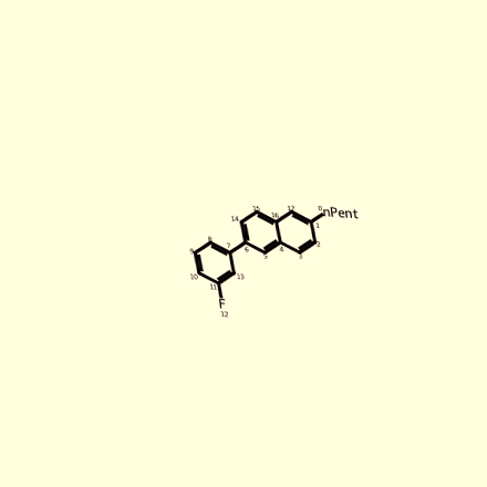 CCCCCc1ccc2cc(-c3cccc(F)c3)ccc2c1